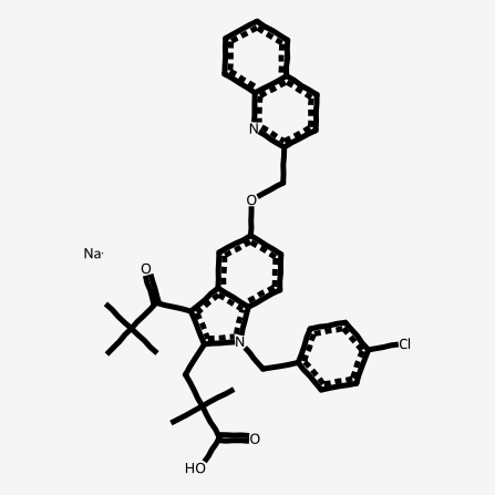 CC(C)(C)C(=O)c1c(CC(C)(C)C(=O)O)n(Cc2ccc(Cl)cc2)c2ccc(OCc3ccc4ccccc4n3)cc12.[Na]